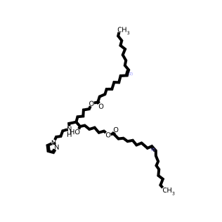 CCCCCCCC/C=C\CCCCCCCC(=O)OCCCCCC(O)C(CCCCOC(=O)CCCCCCC/C=C\CCCCCCCC)CNCCCn1cccn1